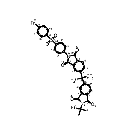 CCC(C)(C)N1C(=O)c2ccc(C(c3ccc4c(c3)C(=O)N(c3ccc(S(=O)(=O)c5ccc(C(C)C)cc5)cc3)C4=O)(C(F)(F)F)C(F)(F)F)cc2C1=O